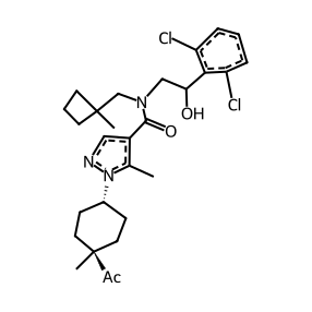 Cc1c(C(=O)N(CC(O)c2c(Cl)cccc2Cl)CC2(C)CCC2)cnn1[C@H]1CC[C@](C)(C(C)=O)CC1